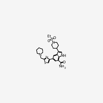 CCS(=O)(=O)N1CCC(c2c[nH]c3c(C(N)=O)cc(-c4csc(CN5CCCCC5)n4)cc23)CC1